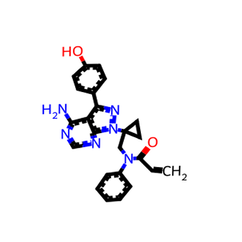 C=CC(=O)N(CC1(n2nc(-c3ccc(O)cc3)c3c(N)ncnc32)CC1)c1ccccc1